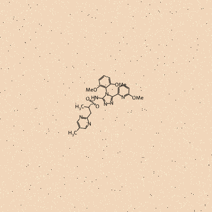 COc1cccc(-c2nnc(NS(=O)(=O)C(C)Cc3ncc(C)cn3)n2-c2c(OC)cccc2OC)n1